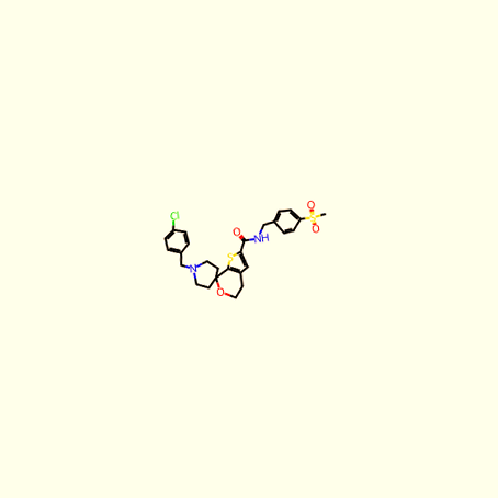 CS(=O)(=O)c1ccc(CNC(=O)c2cc3c(s2)C2(CCN(Cc4ccc(Cl)cc4)CC2)OCC3)cc1